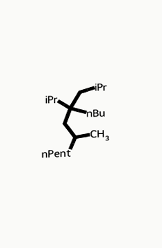 [CH2]CCCCC(C)CC(CCCC)(CC(C)C)C(C)C